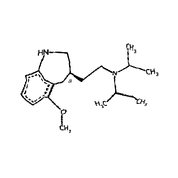 COc1cccc2c1[C@H](CCN(C(C)C)C(C)C)CN2